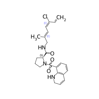 C=C/C(Cl)=C\C=C(/C)CNC(=O)[C@@H]1CCCN1S(=O)(=O)c1cccc2c1NCC=C2